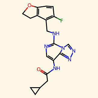 O=C(CC1CC1)Nc1cnc(NCc2c(F)ccc3c2CCO3)n2cnnc12